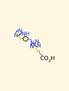 O=C(O)CCCSc1ncnc2c1ncn2Cc1ccc2c(c1)Nc1nccnc1S2